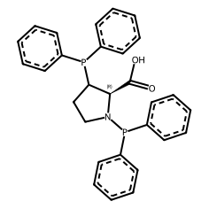 O=C(O)[C@@H]1C(P(c2ccccc2)c2ccccc2)CCN1P(c1ccccc1)c1ccccc1